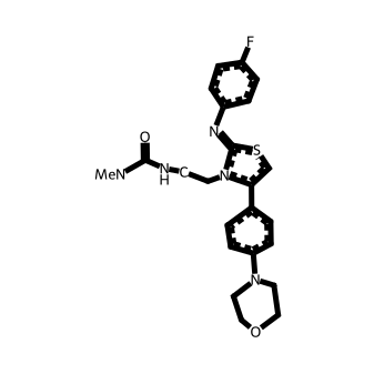 CNC(=O)NCCn1c(-c2ccc(N3CCOCC3)cc2)csc1=Nc1ccc(F)cc1